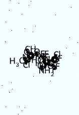 COc1cc(C(=O)NC[C@](O)(c2cc(CC(N)=O)c(OCC(F)F)c(-c3ccc(F)c(Cl)c3)n2)C(F)(F)F)cc2cc(Cl)c(C)nc12